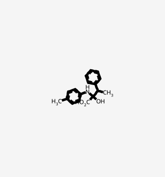 Cc1ccc(NC(O)(C(=O)O)C(C)c2ccccc2)cc1